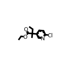 CCOC(=O)C(C)(CC)c1ccc(Cl)nc1